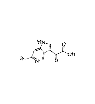 O=C(O)C(=O)c1c[nH]c2cc(Br)ncc12